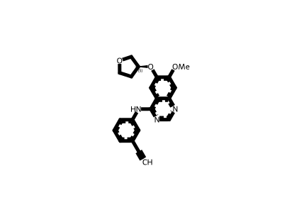 C#Cc1cccc(Nc2ncnc3cc(OC)c(O[C@H]4CCOC4)cc23)c1